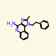 Cc1nc2c(N)nc3ccccc3c2n1CCc1ccccc1